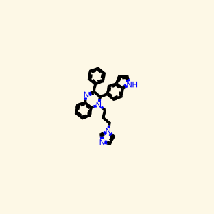 c1ccc(C2=Nc3ccccc3N(CCCn3ccnc3)C2c2ccc3[nH]ccc3c2)cc1